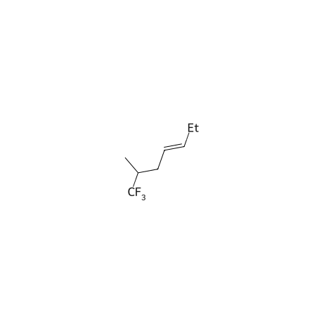 CCC=CCC(C)C(F)(F)F